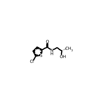 C[C@H](O)CNC(=O)c1ccc(Cl)s1